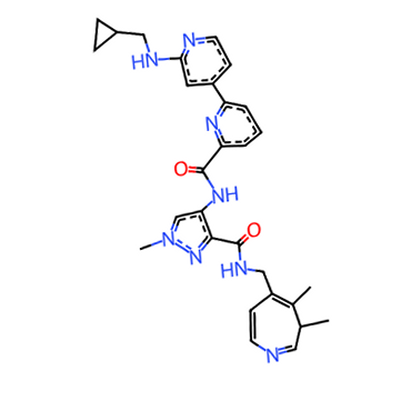 CC1=C(CNC(=O)c2nn(C)cc2NC(=O)c2cccc(-c3ccnc(NCC4CC4)c3)n2)C=CN=CC1C